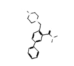 CN(C)C(=O)c1cc(-c2ccccc2)ccc1CN1CCN(C(=O)O)CC1